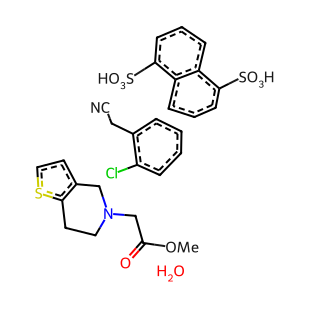 COC(=O)CN1CCc2sccc2C1.N#CCc1ccccc1Cl.O.O=S(=O)(O)c1cccc2c(S(=O)(=O)O)cccc12